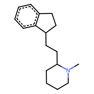 CN1CCCCC1CCC1CCc2ccccc21